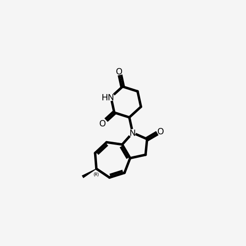 C[C@@H]1C=CC2=C(C=C1)N(C1CCC(=O)NC1=O)C(=O)C2